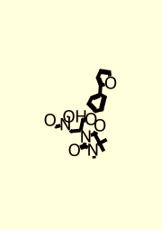 CN1C(=O)N(C(COc2ccc(-c3ccco3)cc2)CN(O)C=O)C(=O)C1(C)C